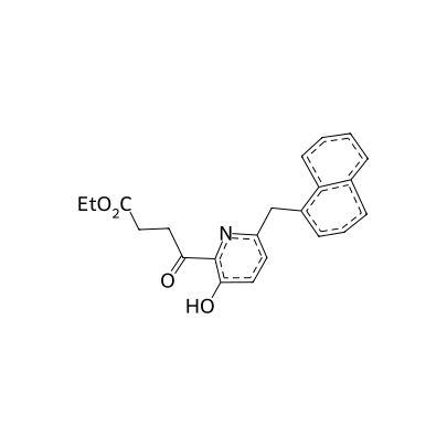 CCOC(=O)CCC(=O)c1nc(Cc2cccc3ccccc23)ccc1O